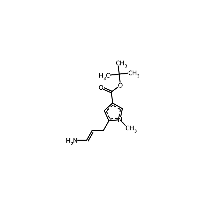 Cn1cc(C(=O)OC(C)(C)C)cc1CC=CN